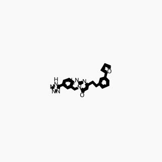 Nc1nc(CCc2cccc(-c3ccco3)c2)cc(=O)n1Cc1cccc(-c2nnn[nH]2)c1